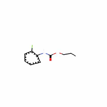 CCCOC(=O)Nc1ccccc1F